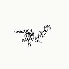 CCCCCCOC(=O)C(C)(C)NP(=O)(CO[C@H](C)Cn1cnc2c(N)ncnc21)O[C@@H](C)C(O)OC(C)C